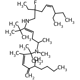 C=C(/C=C(/C)C(C)(C)N(C)C(C)C/C=C(/NCC(F)(CC)C/C=C\C(CC)CC)C(C)(C)C)C(C)CCCC